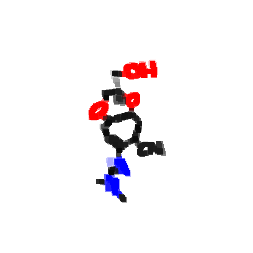 CN(C)/C=N/c1cc2c(cc1C#N)O[C@@H](CO)CO2